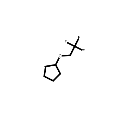 FC(F)(F)COC1[CH]CCC1